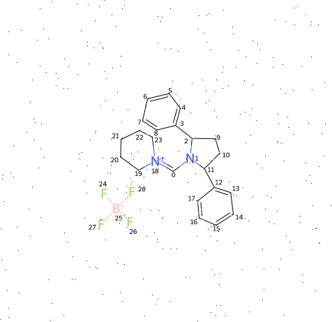 C(N1C(c2ccccc2)CCC1c1ccccc1)=[N+]1CCCCC1.F[B-](F)(F)F